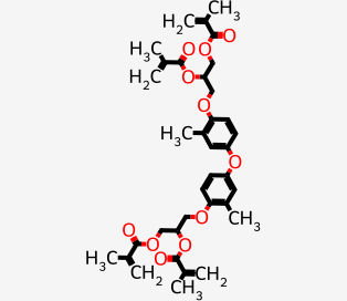 C=C(C)C(=O)OCC(COc1ccc(Oc2ccc(OCC(COC(=O)C(=C)C)OC(=O)C(=C)C)c(C)c2)cc1C)OC(=O)C(=C)C